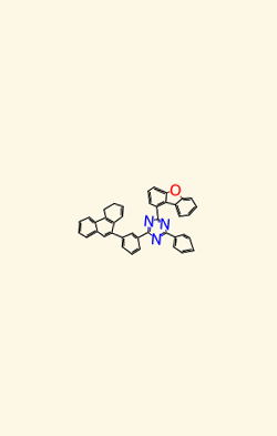 C1=Cc2c(-c3cccc(-c4nc(-c5ccccc5)nc(-c5cccc6oc7ccccc7c56)n4)c3)cc3ccccc3c2CC1